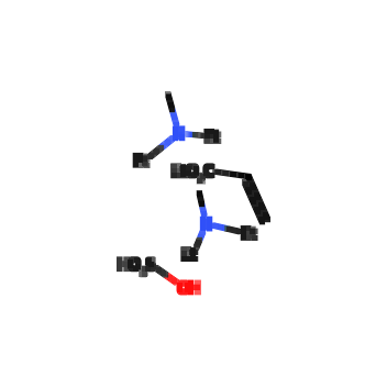 C=CC(=O)OCC.CCN(C)CC.CCN(C)CC.O=S(=O)(O)O